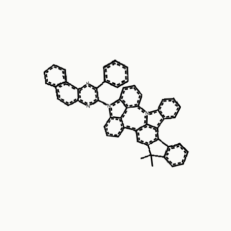 CC1(C)c2ccccc2-c2c1cc1c3cccc4c3c3c(cccc3n3c5ccccc5c2c13)n4-c1nc2ccc3ccccc3c2nc1-c1ccccc1